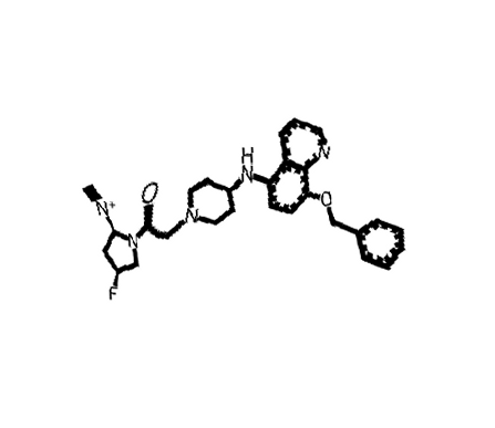 C#[N+][C@@H]1C[C@H](F)CN1C(=O)CN1CCC(Nc2ccc(OCc3ccccc3)c3ncccc23)CC1